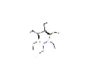 CCC1=C(CC)N(CC)[SiH](CC)[Si](CC)=C1CC